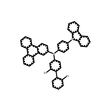 CCc1ccccc1-c1ccc(N(c2ccc(-n3c4ccccc4c4ccccc43)cc2)c2ccc3c4ccccc4c4ccccc4c3c2)cc1CC